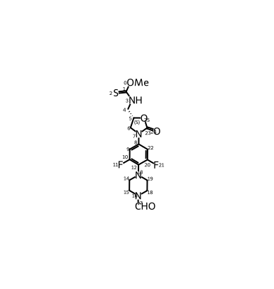 COC(=S)NC[C@H]1CN(c2cc(F)c(N3CCN(C=O)CC3)c(F)c2)C(=O)O1